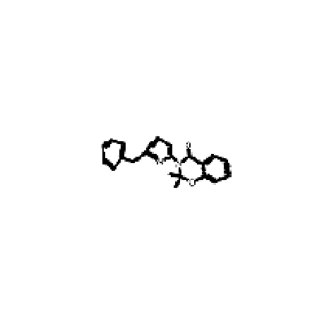 CC1(C)Oc2ccccc2C(=O)N1c1cccc(Cc2ccccc2)n1